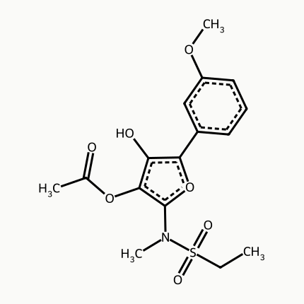 CCS(=O)(=O)N(C)c1oc(-c2cccc(OC)c2)c(O)c1OC(C)=O